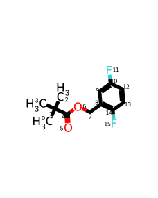 CC(C)(C)C(=O)OCc1cc(F)ccc1F